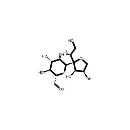 OC[C@@H](O)[C@]1([C]2O[C@H](CO)[C@@H](O)[C@H](O)[C@H]2O)OC[C@@H](O)[C@H]1O